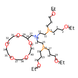 CCOCCCP(CCCOCC)CCN(CCP(CCCOCC)CCCOCC)CC1COCCOCCOCCOCCO1